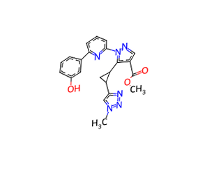 COC(=O)c1cnn(-c2cccc(-c3cccc(O)c3)n2)c1C1CC1c1cn(C)nn1